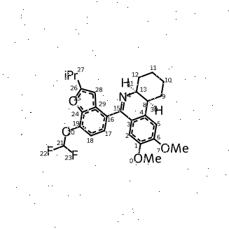 COc1cc2c(cc1OC)[C@@H]1CCCC[C@@H]1N=C2c1ccc(OC(F)F)c2oc(C(C)C)cc12